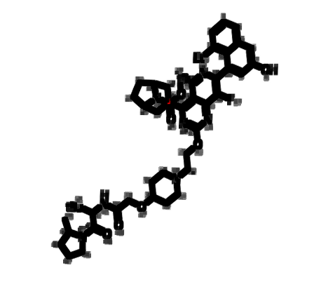 CCc1cccc2cc(O)cc(-c3ncc4c(N5CC6CCC(C5)N6C(=O)OC(C)(C)C)nc(OCCN5CCC(OCC(=O)NC(C(=O)N6CCCC6C)C(C)(C)C)CC5)nc4c3F)c12